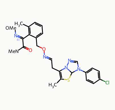 CNC(=O)/C(=N/OC)c1c(C)cccc1CON=CCC1=C(C)SC2N1N=CN2c1ccc(Cl)cc1